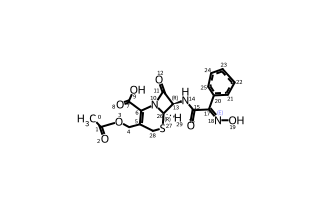 CC(=O)OCC1=C(C(=O)O)N2C(=O)[C@@H](NC(=O)/C(=N/O)c3ccccc3)[C@H]2SC1